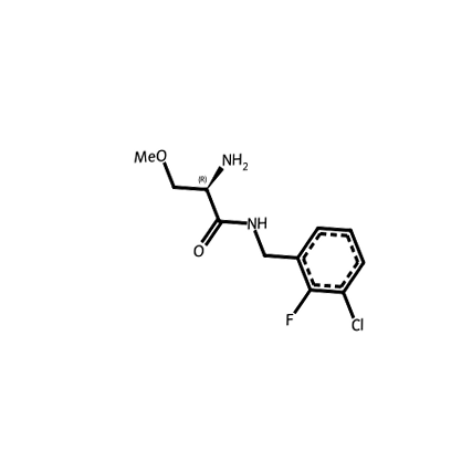 COC[C@@H](N)C(=O)NCc1cccc(Cl)c1F